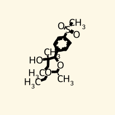 CCO[C@@H](C)OC(c1ccc(S(C)(=O)=O)cc1)[C@@](C)(O)CC